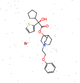 O=C(OC1C[N+]2(CCOc3ccccc3)CCC1CC2)[C@](O)(c1cccs1)C1CCCC1.[Br-]